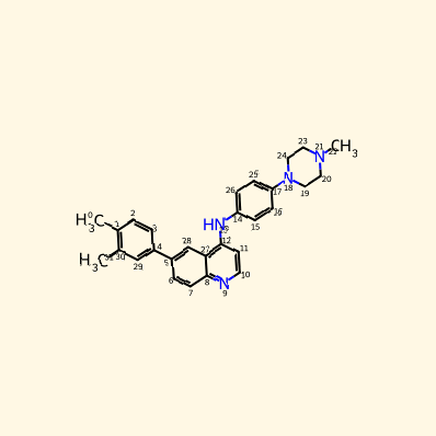 Cc1ccc(-c2ccc3nccc(Nc4ccc(N5CCN(C)CC5)cc4)c3c2)cc1C